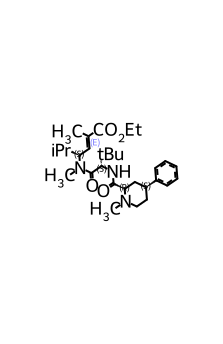 CCOC(=O)/C(C)=C/[C@H](C(C)C)N(C)C(=O)[C@@H](NC(=O)[C@H]1C[C@@H](c2ccccc2)CCN1C)C(C)(C)C